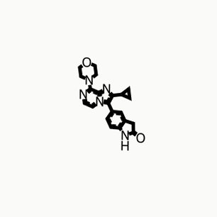 O=C1Cc2cc(-c3c(C4CC4)nc4c(N5CCOCC5)nccn34)ccc2N1